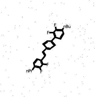 CCCCc1ccc(-c2ccc(/C=C/c3ccc(CCC)c(F)c3F)cc2)c(F)c1F